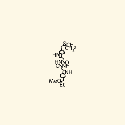 CCC(Cc1ccc2c(c1)NCC2CC1NC(=O)C(CC2CNc3cc(CC4OC4(C)C)ccc32)NC1=O)OC